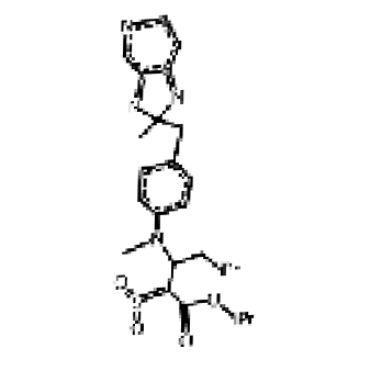 CC(C)CC(C(C(=O)OC(C)C)=S(=O)=O)N(C)c1ccc(CC2(C)N=c3ccncc3=N2)cc1